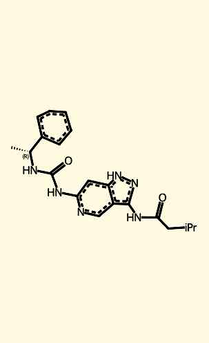 CC(C)CC(=O)Nc1n[nH]c2cc(NC(=O)N[C@H](C)c3ccccc3)ncc12